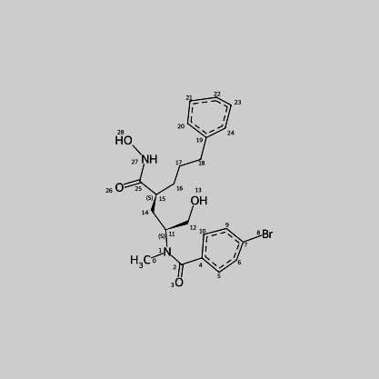 CN(C(=O)c1ccc(Br)cc1)[C@H](CO)C[C@H](CCCc1ccccc1)C(=O)NO